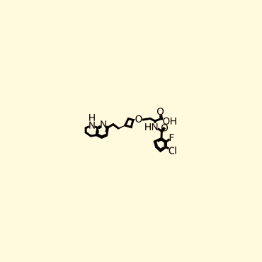 O=C(NC(CCO[C@H]1C[C@H](CCc2ccc3c(n2)NCCC3)C1)C(=O)O)c1cccc(Cl)c1F